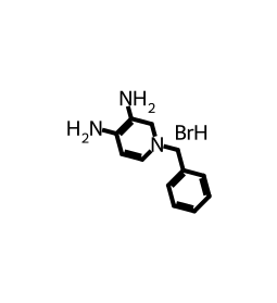 Br.NC1=C(N)CN(Cc2ccccc2)C=C1